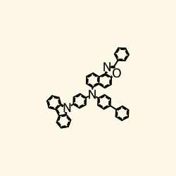 c1ccc(-c2ccc(N(c3ccc(-n4c5ccccc5c5ccccc54)cc3)c3cccc4c3ccc3oc(-c5ccccc5)nc34)cc2)cc1